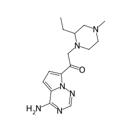 CCC1CN(C)CCN1CC(=O)c1ccc2c(N)ncnn12